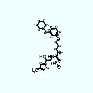 Cc1csc(C(O)CNC(=C[N+](=O)[O-])NCCCOc2cccc(CN3CCCCC3)c2)c1